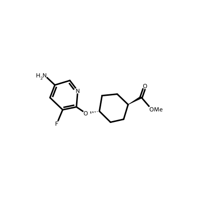 COC(=O)[C@H]1CC[C@H](Oc2ncc(N)cc2F)CC1